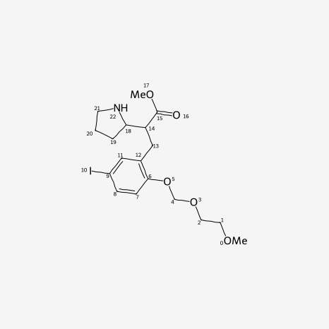 COCCOCOc1ccc(I)cc1CC(C(=O)OC)C1CCCN1